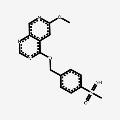 COc1cc2c(OCc3ccc(S(C)(=N)=O)cc3)ncnc2cn1